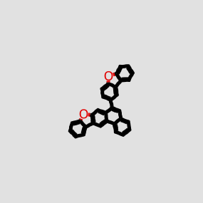 c1ccc2c(c1)cc(-c1ccc3oc4ccccc4c3c1)c1cc3oc4ccccc4c3cc12